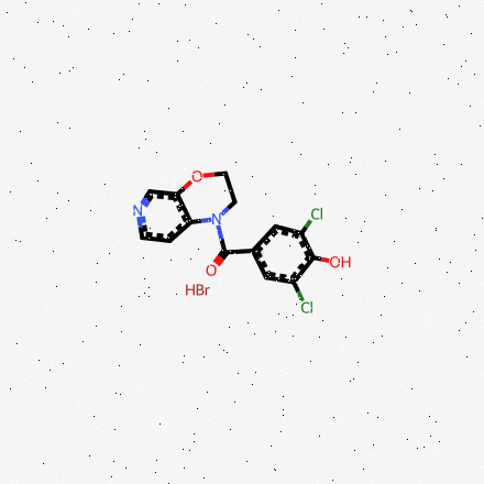 Br.O=C(c1cc(Cl)c(O)c(Cl)c1)N1CCOc2cnccc21